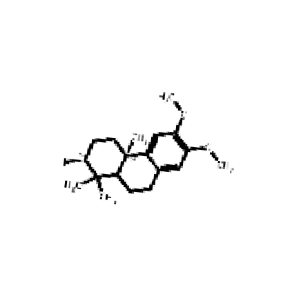 COc1cc2c(cc1OC)[C@@]1(C)CC[C@H](I)C(C)(C)C1CC2